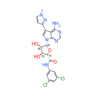 Cn1ccc(-c2cn([C@@H]3O[C@H](C(=O)Nc4cc(Cl)cc(Cl)c4)[C@@H](O)[C@H]3O)c3ncnc(N)c23)n1